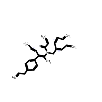 C=C/C=C\C(=C/C=C)CN(C(=O)C=C)/C(C)=C(\C=C\C)c1ccc(CC=N)cc1